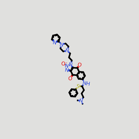 CN(C)CCCC(Nc1ccc2c(c1)C(=O)c1n[n+]([O-])n(CCCN3CCN(c4ccccn4)CC3)c1C2=O)Sc1ccccc1